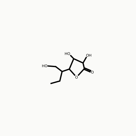 CCC(CO)C1OC(=O)C(O)C1O